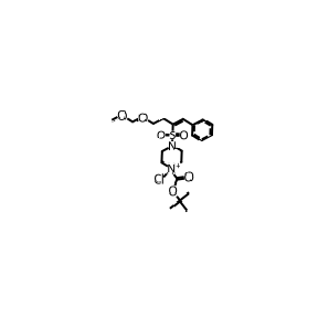 COCOCC/C(=C/c1ccccc1)S(=O)(=O)N1CC[N+](Cl)(C(=O)OC(C)(C)C)CC1